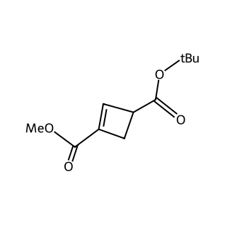 COC(=O)C1=CC(C(=O)OC(C)(C)C)C1